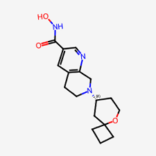 O=C(NO)c1cnc2c(c1)CCN([C@@H]1CCOC3(CCC3)C1)C2